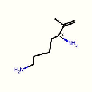 C=C(C)[C@@H](N)CCCCN